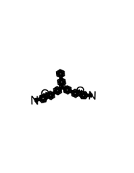 N#Cc1ccc2c(c1)oc1cc(-c3ccc(N(c4ccc(-c5ccccc5)cc4)c4ccc(-c5ccc6c(c5)oc5cc(C#N)ccc56)cc4)cc3)ccc12